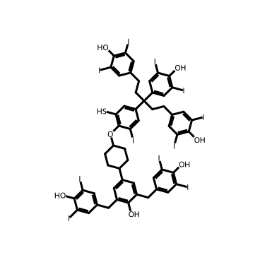 Oc1c(I)cc(CCC(CCc2cc(I)c(O)c(I)c2)(c2cc(I)c(O)c(I)c2)c2cc(S)c(OC3CCC(c4cc(Cc5cc(I)c(O)c(I)c5)c(O)c(Cc5cc(I)c(O)c(I)c5)c4)CC3)c(I)c2)cc1I